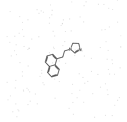 C1=NCCN1CCc1cccc2ccccc12